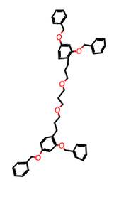 c1ccc(COc2ccc(CCCOCCCOCCCc3ccc(OCc4ccccc4)cc3OCc3ccccc3)c(OCc3ccccc3)c2)cc1